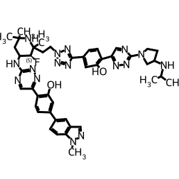 CC(C)NC1CCN(c2ncc(-c3ccc(-c4nnn(CCC5(C)NC(C)(C)CC(Nc6ncc(-c7ccc(-c8ccc9c(cnn9C)c8)cc7O)nn6)[C@@H]5F)n4)cc3O)nn2)C1